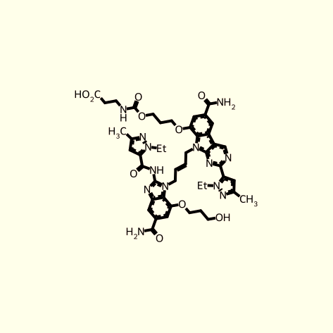 CCn1nc(C)cc1C(=O)Nc1nc2cc(C(N)=O)cc(OCCCO)c2n1CC=CCn1c2nc(-c3cc(C)nn3CC)ncc2c2cc(C(N)=O)cc(OCCCOC(=O)NCCC(=O)O)c21